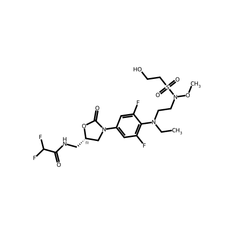 CCN(CCN(OC)S(=O)(=O)CCO)c1c(F)cc(N2C[C@H](CNC(=O)C(F)F)OC2=O)cc1F